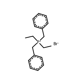 CC[P+](CC)(Cc1ccccc1)Cc1ccccc1.[Br-]